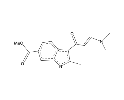 COC(=O)c1ccn2c(C(=O)/C=C/N(C)C)c(C)nc2c1